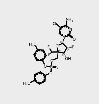 Cc1ccc(OP(=S)(OC[C@@]2(C(F)F)O[C@@H](n3cc(Cl)c(N)nc3=O)[C@H](F)[C@@H]2O)Oc2ccc(C)cc2)cc1